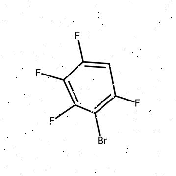 Fc1cc(F)c(Br)c(F)c1F